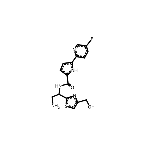 NCC(NC(=O)c1ccc(-c2ccc(F)cn2)[nH]1)c1nc(CO)cs1